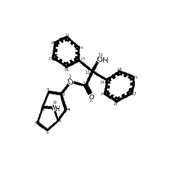 O=C(OC1CC2CCC(C1)N2)C(O)(c1ccccc1)c1ccccc1